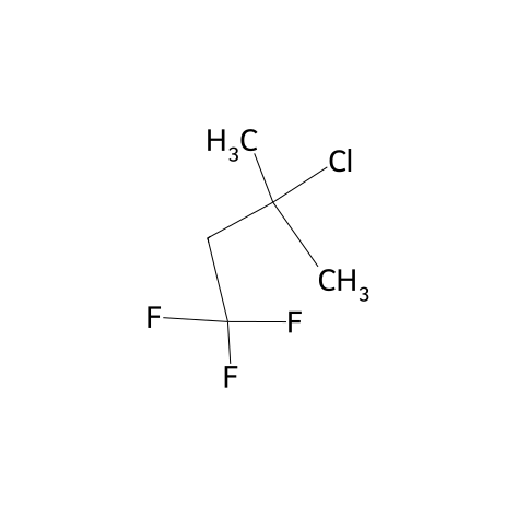 CC(C)(Cl)CC(F)(F)F